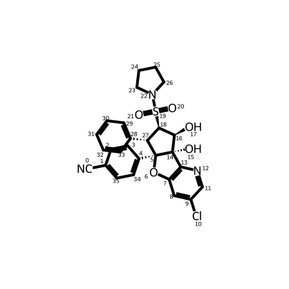 N#Cc1ccc([C@@]23Oc4cc(Cl)cnc4[C@]2(O)[C@H](O)[C@H](S(=O)(=O)N2CCCC2)[C@H]3c2ccccc2)cc1